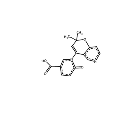 CC1(C)C=C(n2cc(C(=O)O)ccc2=O)c2cnccc2O1